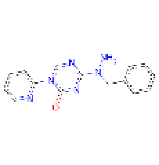 NN(Cc1ccccc1)c1ncn(-c2ccccn2)c(=O)n1